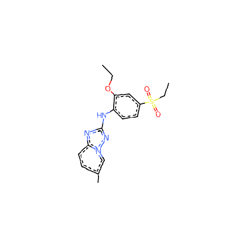 CCOc1cc(S(=O)(=O)CC)ccc1Nc1nc2ccc(C)cn2n1